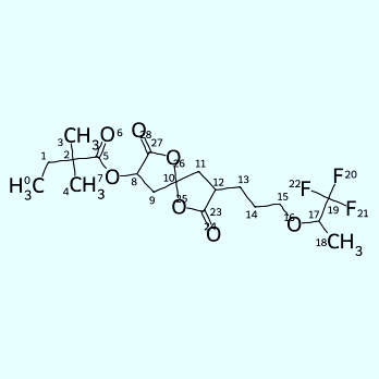 CCC(C)(C)C(=O)OC1CC2(CC(CCCOC(C)C(F)(F)F)C(=O)O2)OC1=O